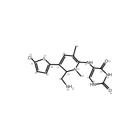 CC1=C(Nc2c[nH]c(=O)[nH]c2=O)N(C)C(CN)C(c2ccc(Cl)s2)=C1